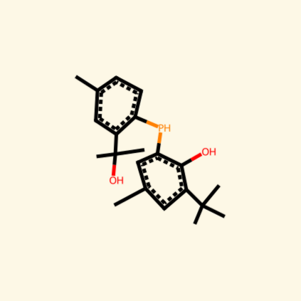 Cc1cc(Pc2ccc(C)cc2C(C)(C)O)c(O)c(C(C)(C)C)c1